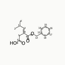 CC(C)C=C(CC(=O)O)C(=O)OCc1ccccc1